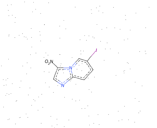 O=[N+]([O-])c1cnc2ccc(I)cn12